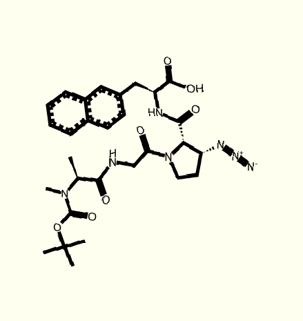 C[C@@H](C(=O)NCC(=O)N1CC[C@@H](N=[N+]=[N-])[C@H]1C(=O)N[C@@H](Cc1ccc2ccccc2c1)C(=O)O)N(C)C(=O)OC(C)(C)C